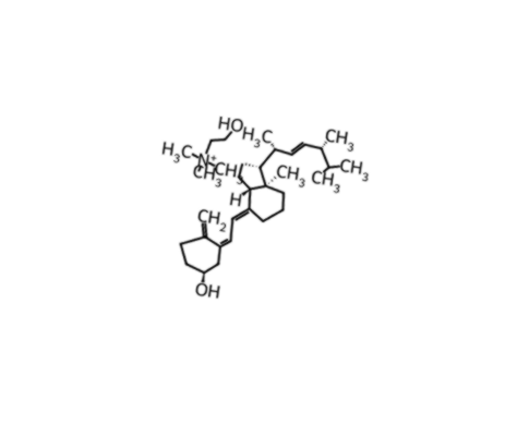 C=C1CC[C@H](O)C/C1=C/C=C1\CCC[C@]2(C)[C@@H]([C@H](C)/C=C/[C@H](C)C(C)C)CC[C@@H]12.C[N+](C)(C)CCO